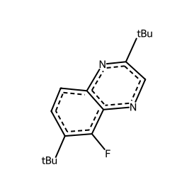 CC(C)(C)c1cnc2c(F)c(C(C)(C)C)ccc2n1